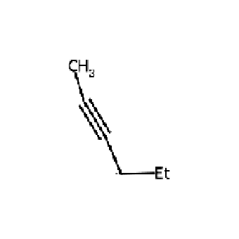 [CH2]C[CH]C#CC